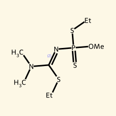 CCS/C(=N\P(=S)(OC)SCC)N(C)C